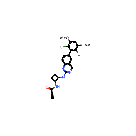 C#CC(=O)NC1CCC1Nc1ncc2cc(-c3c(Cl)c(OC)cc(OC)c3Cl)ccc2n1